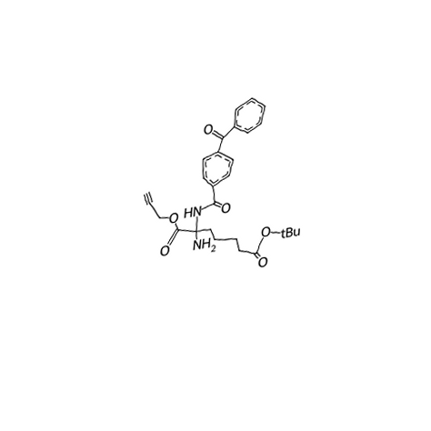 C#CCOC(=O)C(N)(CCCCC(=O)OC(C)(C)C)NC(=O)c1ccc(C(=O)c2ccccc2)cc1